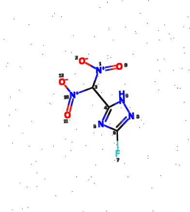 O=[N+]([O-])C(c1nc(F)n[nH]1)[N+](=O)[O-]